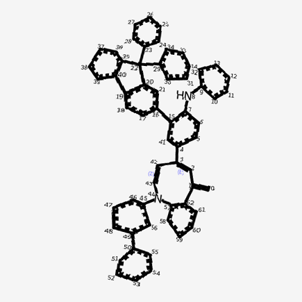 C=C1/C=C(c2ccc(Nc3ccccc3)c(-c3ccc4c(c3)C(c3ccccc3)(c3ccccc3)c3ccccc3-4)c2)\C=C/N(c2cccc(-c3ccccc3)c2)c2ccccc21